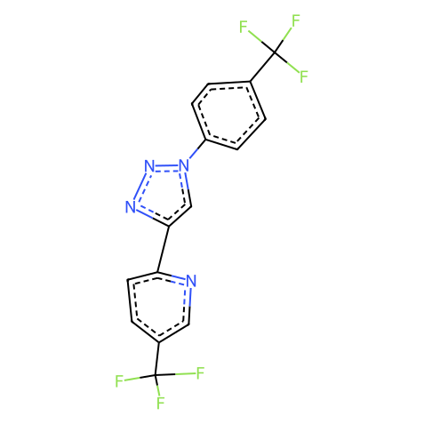 FC(F)(F)c1ccc(-n2cc(-c3ccc(C(F)(F)F)cn3)nn2)cc1